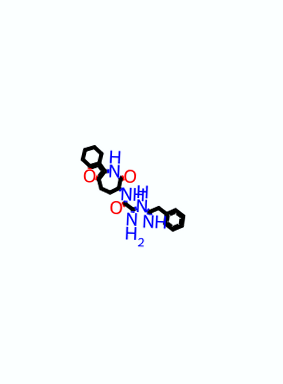 N=C(Cc1ccccc1)NC(N)C(=O)NC1CCc2oc3c(c2NC1=O)CCCC3